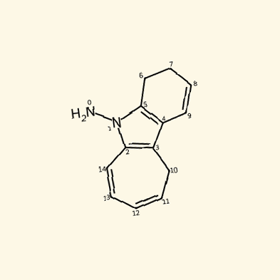 Nn1c2c(c3c1CCC=C3)CC=CC=C2